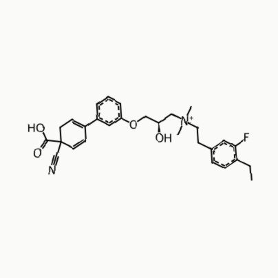 CCc1ccc(CC[N+](C)(C)C[C@@H](O)COc2cccc(C3=CCC(C#N)(C(=O)O)C=C3)c2)cc1F